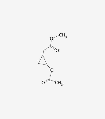 COC(=O)CC1CC1OC(C)=O